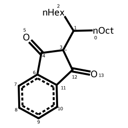 CCCCCCCCC(CCCCCC)[C]1C(=O)c2ccccc2C1=O